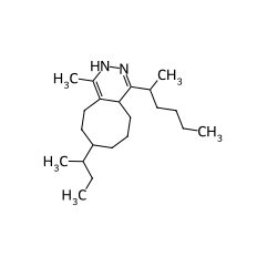 CCCCC(C)C1=NNC(C)=C2CCC(C(C)CC)CCCC12